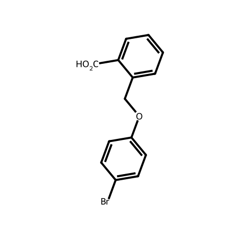 O=C(O)c1ccccc1COc1ccc(Br)cc1